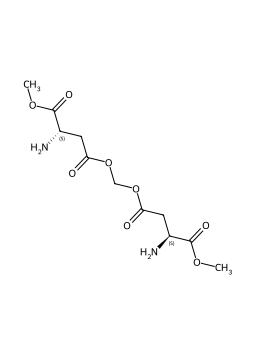 COC(=O)[C@@H](N)CC(=O)OCOC(=O)C[C@H](N)C(=O)OC